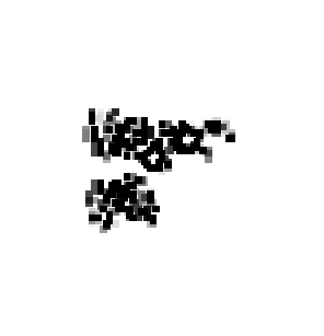 CC(C)(C)[Si](C)(C)OC[C@H]1O[C@@H](n2cc(I)c(N)nc2=O)C[C@@H]1O[Si](C)(C)C(C)(C)C